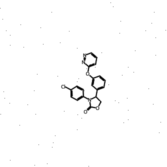 O=C1OCC(c2cccc(Oc3cccnn3)c2)N1c1ccc(Cl)cc1